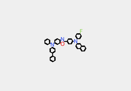 Fc1ccc(N(c2ccc(-c3nc4ccc(N(c5ccccc5)c5ccc(-c6ccccc6)cc5)cc4o3)cc2)c2ccc3ccccc3c2)cc1